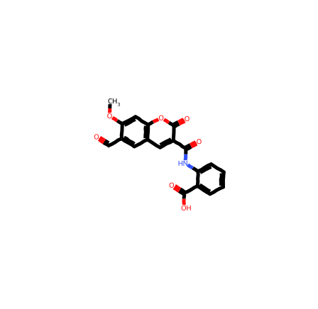 COc1cc2oc(=O)c(C(=O)Nc3ccccc3C(=O)O)cc2cc1C=O